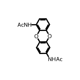 CC(=O)Nc1ccc2c(c1)Oc1cccc(NC(C)=O)c1O2